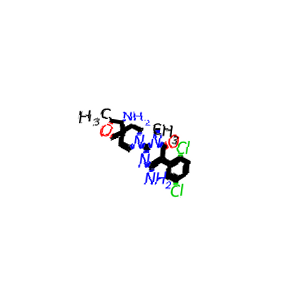 C[C@@H]1OCC2(CCN(c3nc(N)c(-c4cc(Cl)ccc4Cl)c(=O)n3C)CC2)[C@@H]1N